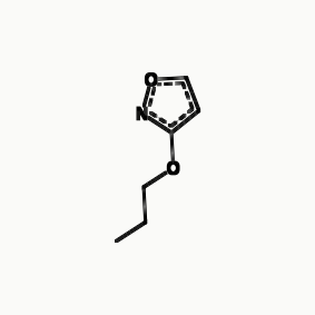 CCCOc1ccon1